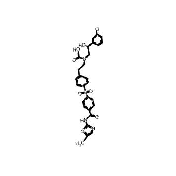 Cc1cnc(NC(=O)c2ccc(S(=O)(=O)c3ccc(CCN(C[C@@H](O)c4cccc(Cl)c4)C(=O)O)cc3)cc2)s1